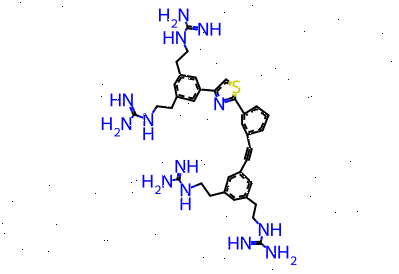 N=C(N)NCCc1cc(C#Cc2cccc(-c3nc(-c4cc(CCNC(=N)N)cc(CCNC(=N)N)c4)cs3)c2)cc(CCNC(=N)N)c1